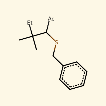 CCC(C)(C)C(SCc1ccccc1)C(C)=O